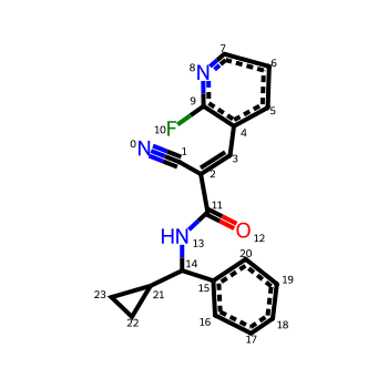 N#C/C(=C\c1cccnc1F)C(=O)NC(c1ccccc1)C1CC1